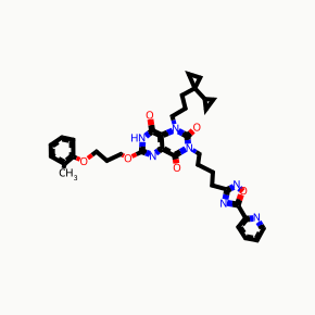 Cc1ccccc1OCCCOc1nc2c(=O)n(CCCCc3noc(-c4ccccn4)n3)c(=O)n(CCCC3(C4CC4)CC3)c2c(=O)[nH]1